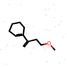 C=C(CCOC)C1=CCCCC1